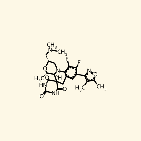 Cc1onc(-c2cc3c(c(F)c2F)N2C[C@@H](CN(C)C)O[C@@H](C)[C@@H]2C2(C3)C(=O)NC(=O)NC2=O)c1C